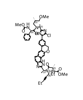 CCC#C[C@@H](CC)N(C(=O)[C@H](C)NC(=O)OC)[C@@H](C)c1nc2ccc3cc4c(cc3c2[nH]1)OCc1cc(-c2[nH]c([C@H](C)N(C[C@H](C)COC)C(=O)[C@H](NC(=O)OC)c3ccccc3)nc2Cl)ccc1-4